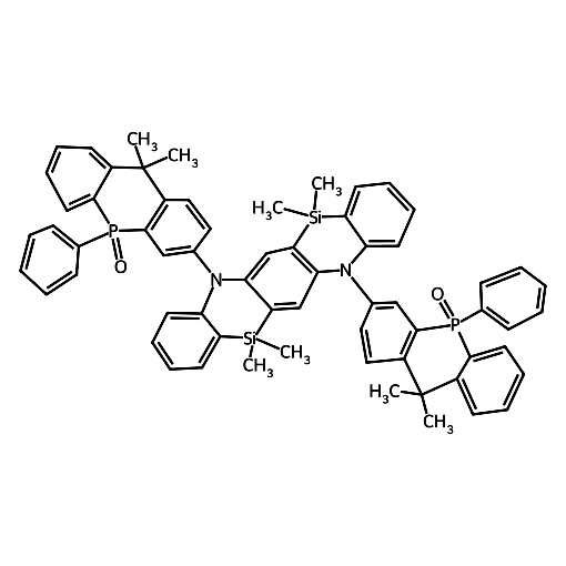 CC1(C)c2ccccc2P(=O)(c2ccccc2)c2cc(N3c4ccccc4[Si](C)(C)c4cc5c(cc43)[Si](C)(C)c3ccccc3N5c3ccc4c(c3)P(=O)(c3ccccc3)c3ccccc3C4(C)C)ccc21